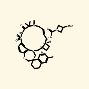 COC1CN(C(=O)O[C@H]2/C=C/CN(C)C(C)(C)C(=O)NS(=O)(=O)c3ccc4c(c3)N(C[C@@H]3CC[C@H]32)C[C@@]2(CCCc3cc(Cl)ccc32)CO4)C1